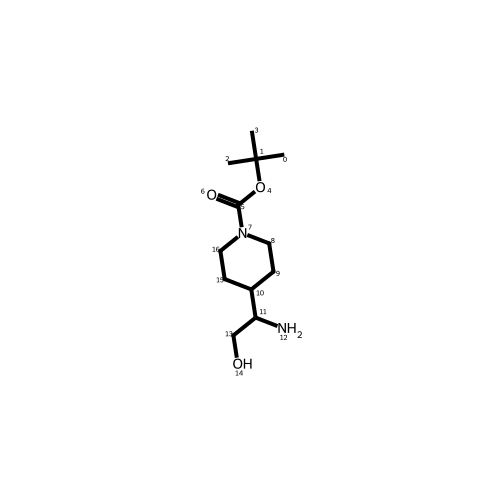 CC(C)(C)OC(=O)N1CCC(C(N)CO)CC1